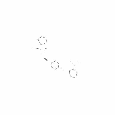 CC(=O)N1CC[C@@H](Nc2ccc(C#CCN3C(=O)c4ccccc4C3=O)cc2)c2ccccc21